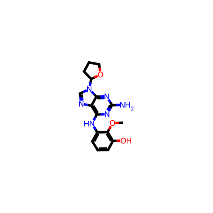 COc1c(O)cccc1Nc1nc(N)nc2c1ncn2C1CCCO1